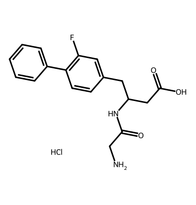 Cl.NCC(=O)NC(CC(=O)O)Cc1ccc(-c2ccccc2)c(F)c1